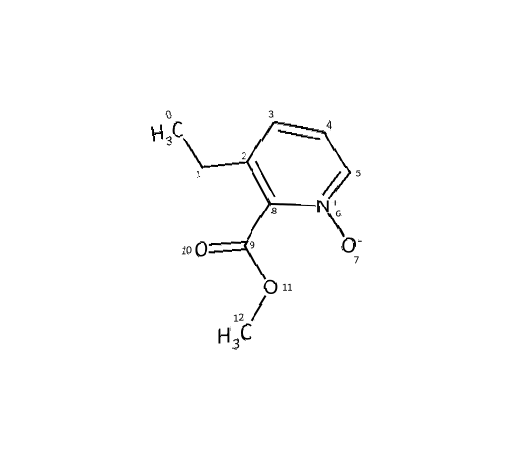 CCc1ccc[n+]([O-])c1C(=O)OC